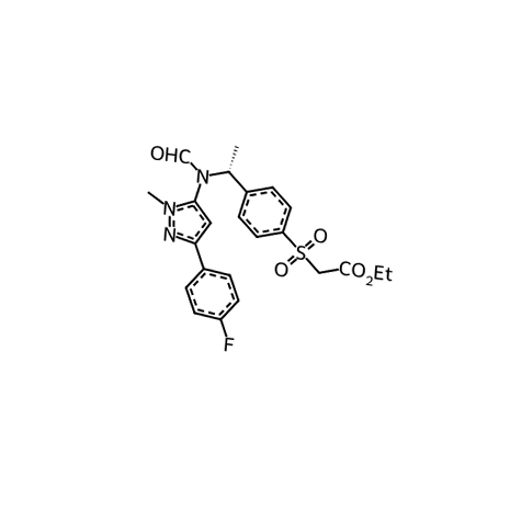 CCOC(=O)CS(=O)(=O)c1ccc([C@@H](C)N(C=O)c2cc(-c3ccc(F)cc3)nn2C)cc1